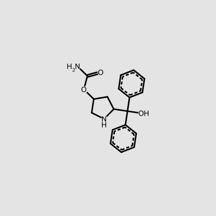 NC(=O)OC1CNC(C(O)(c2ccccc2)c2ccccc2)C1